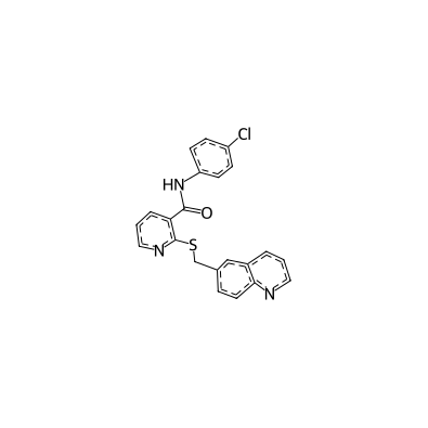 O=C(Nc1ccc(Cl)cc1)c1cccnc1SCc1ccc2ncccc2c1